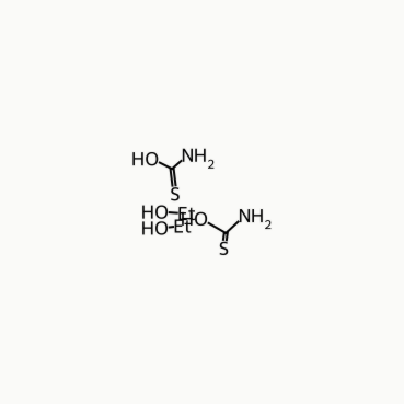 CCO.CCO.NC(O)=S.NC(O)=S